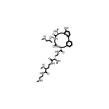 CNCCNC(=O)C(CCNC(=O)[C@H](CCNC(=O)[C@@H]1Cc2cccc(c2)-c2ccc(O)c(c2)C[C@H](NC)C(=O)N[C@@H](C[C@@H](O)CNC)C(=O)N1)NC)NC